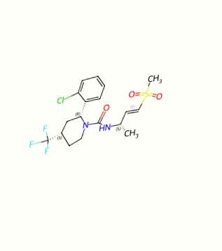 C[C@@H](/C=C/S(C)(=O)=O)NC(=O)N1CC[C@H](C(F)(F)F)C[C@@H]1c1ccccc1Cl